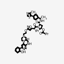 Cc1ncsc1-c1ccc([C@H](C)NC(=O)[C@@H]2C[C@@H](OC(=O)C(C)C)CN2C(=O)[C@@H](c2cc(OCCN3CCN4c5cc(-c6ccccc6O)nnc5NC[C@@H]4C3)no2)C(C)C)cc1